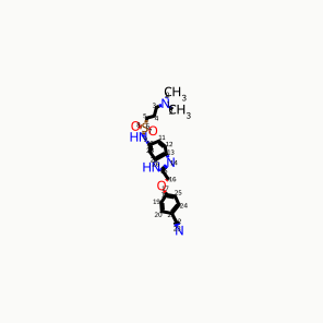 CN(C)CCCS(=O)(=O)Nc1ccc2nc(COc3ccc(C#N)cc3)[nH]c2c1